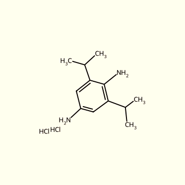 CC(C)c1cc(N)cc(C(C)C)c1N.Cl.Cl